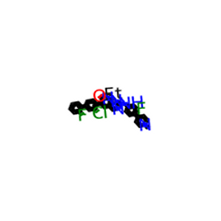 CCn1c(=O)c(-c2ccc(-c3ccccc3F)cc2Cl)cc2cnc(Nc3ccc(C4CCN(C)CC4)c(F)c3)nc21